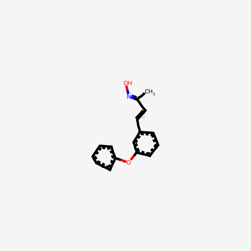 CC(/C=C/c1cccc(Oc2ccccc2)c1)=NO